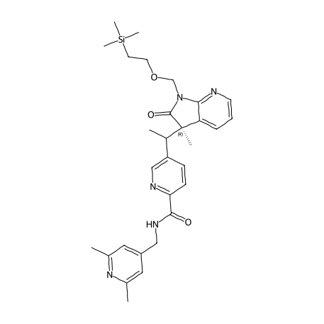 Cc1cc(CNC(=O)c2ccc(C(C)[C@@]3(C)C(=O)N(COCC[Si](C)(C)C)c4ncccc43)cn2)cc(C)n1